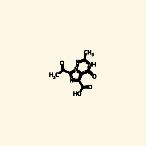 CC(=O)c1nc(C(=O)O)c2c(=O)[nH]c(C)nn12